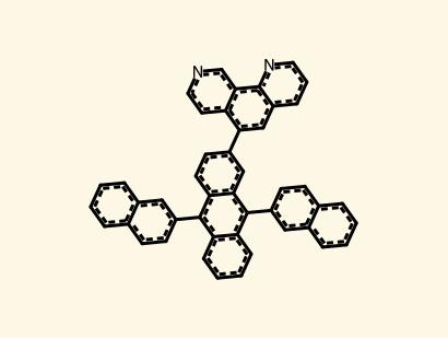 c1ccc2cc(-c3c4ccccc4c(-c4ccc5ccccc5c4)c4cc(-c5cc6cccnc6c6cnccc56)ccc34)ccc2c1